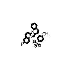 Cc1ccc(S(=O)(=O)[O-])cc1.Fc1ccc2c(ccc3n4c(ccc5ccccc54)c[n+]23)c1